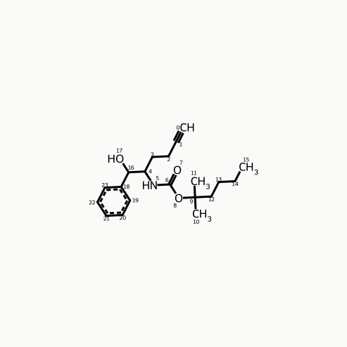 C#CCCC(NC(=O)OC(C)(C)CCCC)C(O)c1ccccc1